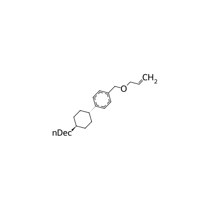 C=CCOCc1ccc([C@H]2CC[C@H](CCCCCCCCCC)CC2)cc1